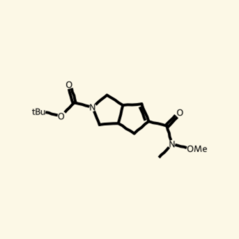 CON(C)C(=O)C1=CC2CN(C(=O)OC(C)(C)C)CC2C1